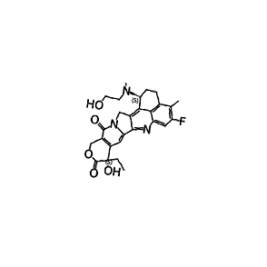 CC[C@@]1(O)C(=O)OCc2c1cc1n(c2=O)Cc2c-1nc1cc(F)c(C)c3c1c2[C@@H](N(C)CCO)CC3